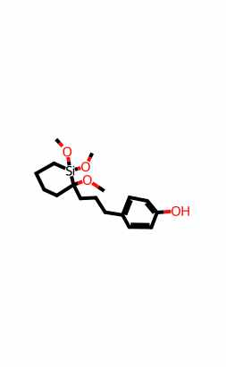 COC1(CCCc2ccc(O)cc2)CCCC[Si]1(OC)OC